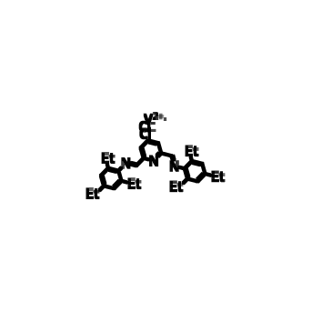 CCc1cc(CC)c(N=Cc2cccc(C=Nc3c(CC)cc(CC)cc3CC)n2)c(CC)c1.[Cl-].[Cl-].[V+2]